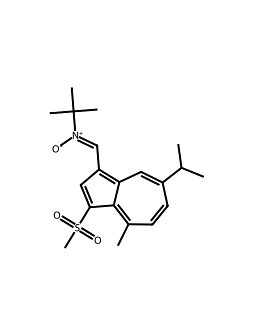 Cc1ccc(C(C)C)cc2c(C=[N+]([O-])C(C)(C)C)cc(S(C)(=O)=O)c1-2